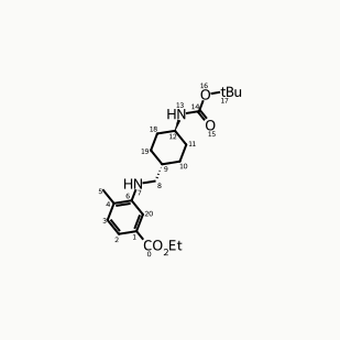 CCOC(=O)c1ccc(C)c(NC[C@H]2CC[C@H](NC(=O)OC(C)(C)C)CC2)c1